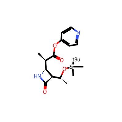 C[C@@H](O[Si](C)(C)C(C)(C)C)[C@H]1C(=O)N[C@@H]1[C@@H](C)C(=O)Oc1ccncc1